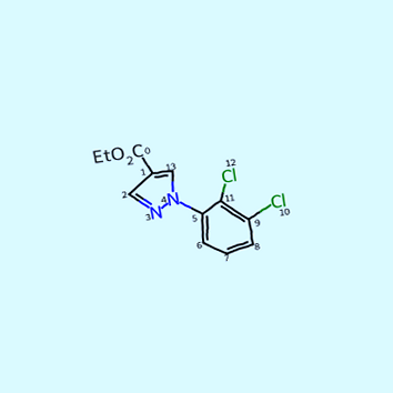 CCOC(=O)c1cnn(-c2cccc(Cl)c2Cl)c1